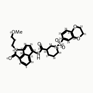 COCCCN1C(=O)c2cccc3c(NC(=O)C4CCCN(S(=O)(=O)c5ccc6c(c5)OCCO6)C4)ccc1c23